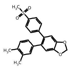 Cc1ccc(-c2cc3c(cc2-c2ccc(S(C)(=O)=O)cc2)OCO3)cc1C